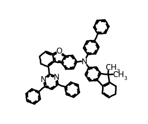 CC1(C)C2=C(C=CCC2)c2ccc(N(c3ccc(-c4ccccc4)cc3)c3ccc4c5c(oc4c3)=CCCC=5c3nc(-c4ccccc4)cc(-c4ccccc4)n3)cc21